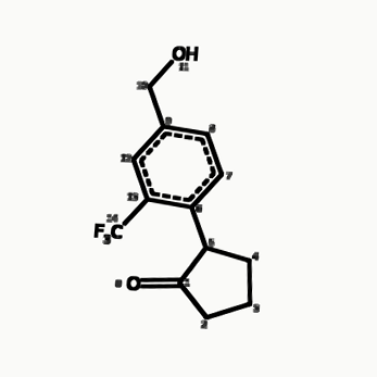 O=C1CCCC1c1ccc(CO)cc1C(F)(F)F